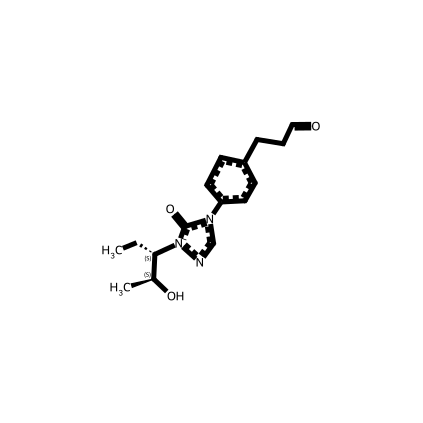 CC[C@@H]([C@H](C)O)n1ncn(-c2ccc(CCC=O)cc2)c1=O